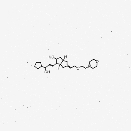 OC1C[C@@H]2C/C(=C\COCCN3CCOCC3)C[C@@H]2C1/C=C/[C@@H](O)C1CCCC1